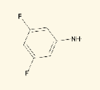 [NH]c1cc(F)cc(F)c1